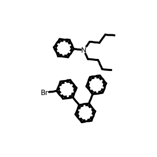 Brc1cccc(-c2ccccc2-c2ccccc2)c1.CCCCN(CCCC)c1ccccc1